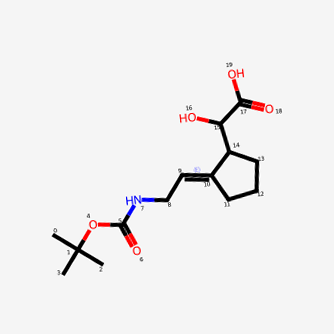 CC(C)(C)OC(=O)NC/C=C1\CCCC1C(O)C(=O)O